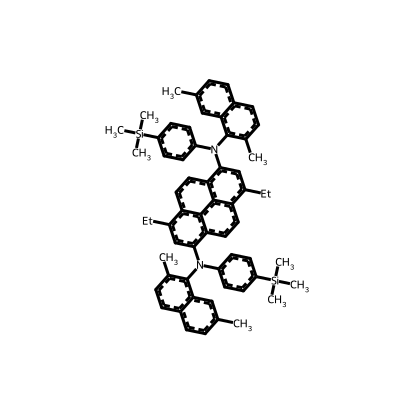 CCc1cc(N(c2ccc([Si](C)(C)C)cc2)c2c(C)ccc3ccc(C)cc23)c2ccc3c(CC)cc(N(c4ccc([Si](C)(C)C)cc4)c4c(C)ccc5ccc(C)cc45)c4ccc1c2c34